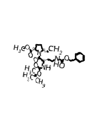 C=C[C@H]1CC[C@@H](C(=O)OC)N1C(=O)[C@H](CCNC(=O)OCc1ccccc1)NC(=O)OC(C)(C)C